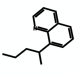 CCCC(C)c1cccc2cccnc12